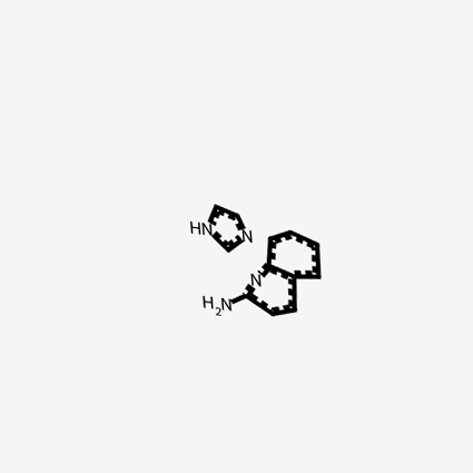 Nc1ccc2ccccc2n1.c1c[nH]cn1